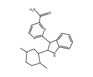 CN1CCN(C)C(C2Nc3ccccc3N2c2nccc(C(N)=O)n2)C1